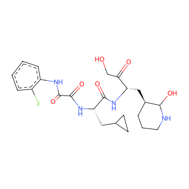 O=C(Nc1ccccc1F)C(=O)N[C@@H](CC1CC1)C(=O)N[C@@H](C[C@@H]1CCCNC1O)C(=O)CO